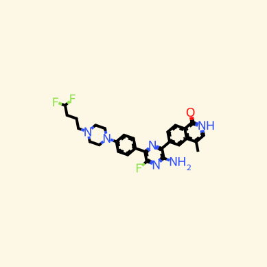 Cc1c[nH]c(=O)c2ccc(-c3nc(-c4ccc(N5CCN(CCCC(F)F)CC5)cc4)c(F)nc3N)cc12